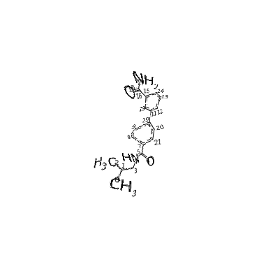 CC(C)CNC(=O)c1ccc(-c2cccc(C(N)=O)c2)cc1